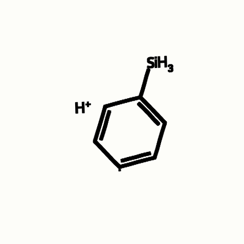 [H+].[SiH3]c1cc[c]cc1